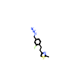 Cc1nc(CCc2ccc(CN=[N+]=[N-])cc2F)cs1